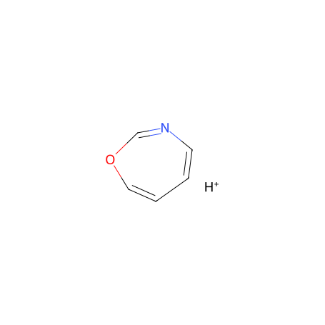 C1=CN=COC=C1.[H+]